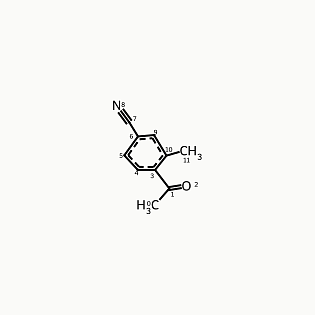 CC(=O)c1ccc(C#N)cc1C